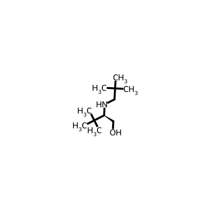 CC(C)(C)CN[C@@H](CO)C(C)(C)C